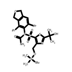 CC(C)c1cc2c(c(C(C)C)c1N(C(N)=O)S(=O)(=O)c1sc(C(C)(C)O)nc1CO[Si](C)(C)C(C)(C)C)COC2